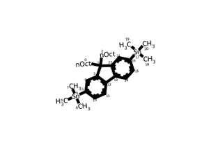 CCCCCCCCC1(CCCCCCCC)c2c[c]([Sn]([CH3])([CH3])[CH3])ccc2-c2cc[c]([Sn]([CH3])([CH3])[CH3])cc21